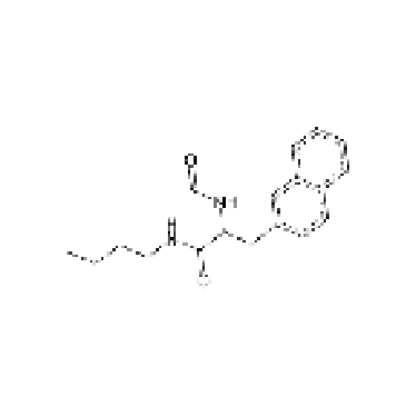 CCCCNC(=O)C(Cc1ccc2ccccc2c1)NC=O